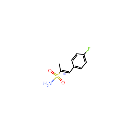 C/C(=C\c1ccc(F)cc1)S(N)(=O)=O